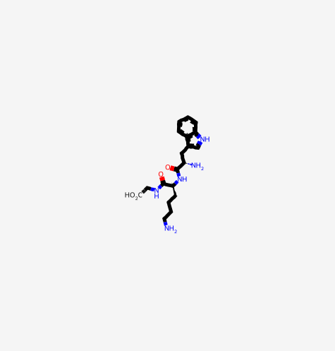 NCCCC[C@H](NC(=O)[C@@H](N)Cc1c[nH]c2ccccc12)C(=O)NCC(=O)O